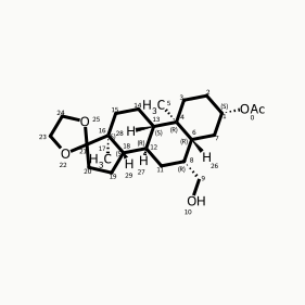 CC(=O)O[C@H]1CC[C@@]2(C)[C@H](C1)[C@H](CO)C[C@@H]1[C@@H]2CC[C@@]2(C)[C@H]1CCC21OCCO1